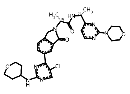 C[C@H](C(=O)N[C@H](C)c1ccnc(N2CCOCC2)n1)N1Cc2ccc(-c3nc(NC4CCOCC4)ncc3Cl)cc2C1=O